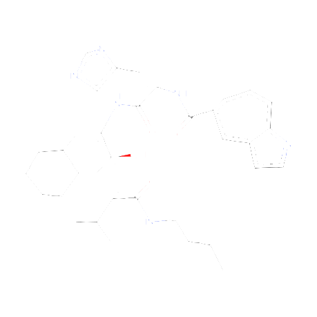 CCCCNC(=O)[C@@H](C[C@H](O)[C@H](CC1CCCCC1)NC(=O)[C@H](Cc1c[nH]cn1)NC(=O)c1cccc2nccc-2c1)C(C)C